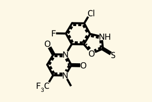 Cn1c(C(F)(F)F)cc(=O)n(-c2c(F)cc(Cl)c3[nH]c(=S)oc23)c1=O